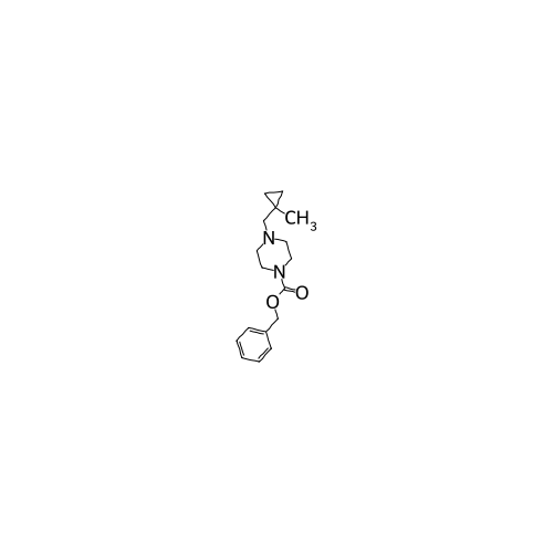 CC1(CN2CCN(C(=O)OCc3ccccc3)CC2)CC1